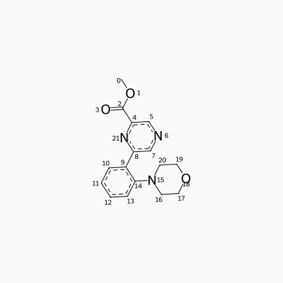 COC(=O)c1cncc(-c2ccccc2N2CCOCC2)n1